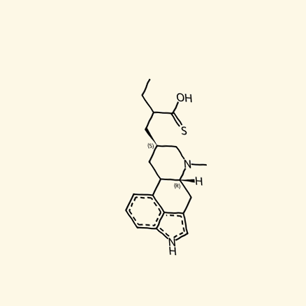 CCC(C[C@@H]1CC2c3cccc4[nH]cc(c34)C[C@H]2N(C)C1)C(O)=S